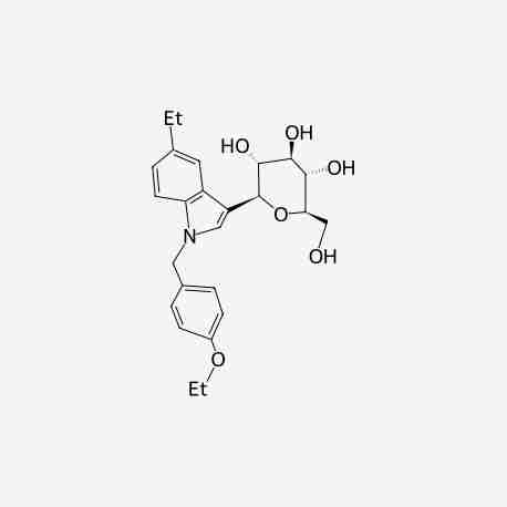 CCOc1ccc(Cn2cc([C@@H]3O[C@H](CO)[C@@H](O)[C@H](O)[C@H]3O)c3cc(CC)ccc32)cc1